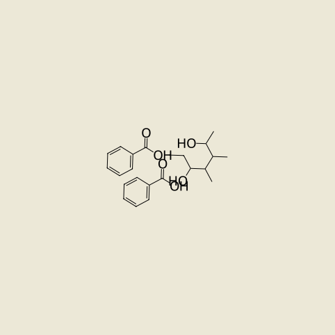 CCC(O)C(C)C(C)C(C)O.O=C(O)c1ccccc1.O=C(O)c1ccccc1